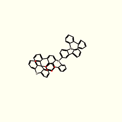 c1ccc(-c2ccccc2N(c2ccc3c(c2)c2ccccc2n3-c2ccccc2-c2ccccc2)c2ccc3c4c(cccc24)C2(c4ccccc4Sc4ccccc42)c2ccccc2-3)cc1